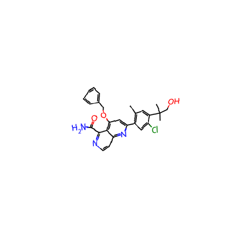 Cc1cc(C(C)(C)CO)c(Cl)cc1-c1cc(OCc2ccccc2)c2c(C(N)=O)nccc2n1